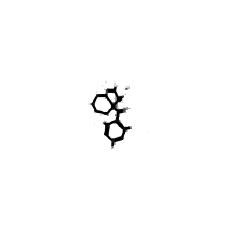 Cc1cc(C)c(C(=O)C2(C(C)(P=O)C(=O)OCC(C)C)CCCCC2)c(C)c1